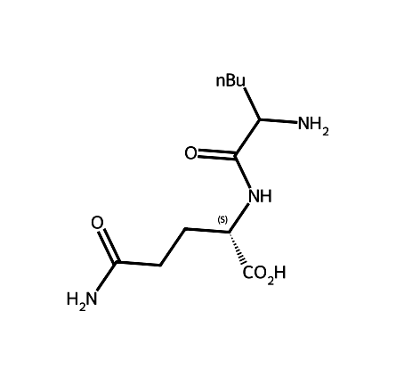 CCCCC(N)C(=O)N[C@@H](CCC(N)=O)C(=O)O